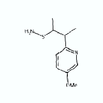 COc1ccc(C(C)C(C)SN)nc1